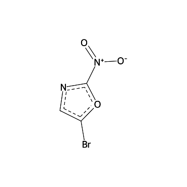 O=[N+]([O-])c1ncc(Br)o1